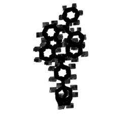 c1ccc(N(c2ccccc2)c2cccc3c2sc2c(N(c4ccccc4)c4ccc(C56CC7CC(C5)C(C7)C6)cc4)cccc23)cc1